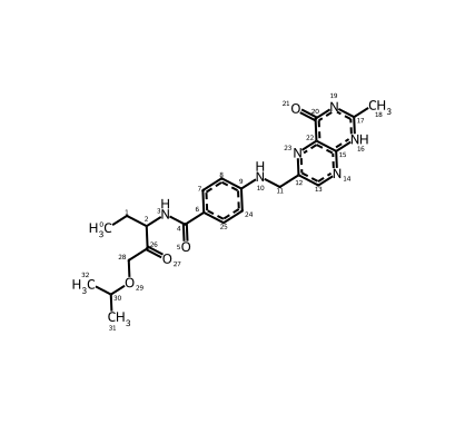 CCC(NC(=O)c1ccc(NCc2cnc3[nH]c(C)nc(=O)c3n2)cc1)C(=O)COC(C)C